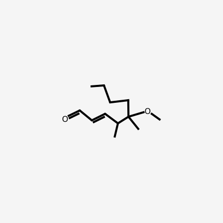 CCCCC(C)(OC)C(C)C=CC=O